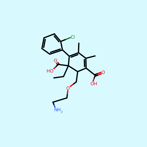 CCC1(C(=O)O)C(c2ccccc2Cl)=C(C)C(C)=C(C(=O)O)C1COCCN